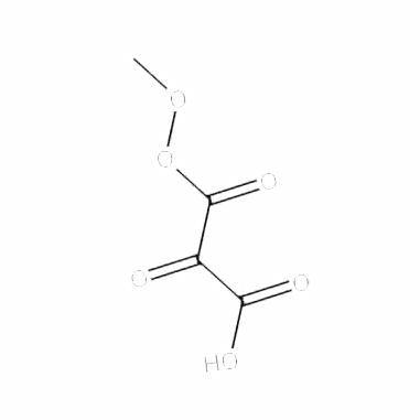 COOC(=O)C(=O)C(=O)O